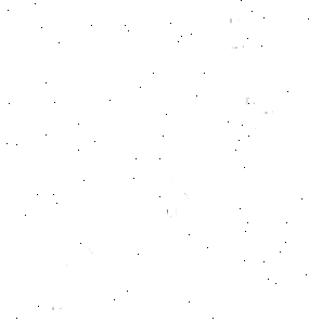 CCCCC(CC)CC(C)(C)OC(=O)CCCCOC(C)(CC)C(C)(C)C(=O)CCCCCOC(C)(CC)C(=O)NCCOC(=O)C(CC(C)(C)C)C(C)C